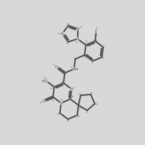 O=C(NCc1cccc(F)c1-n1cncn1)c1nc2n(c(=O)c1O)CCCC21CCCC1